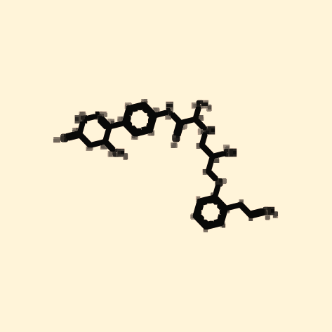 C=CCc1ccccc1OCC(O)CNC(C)C(=O)Nc1ccc(C2=NNC(=O)CC2C)cc1